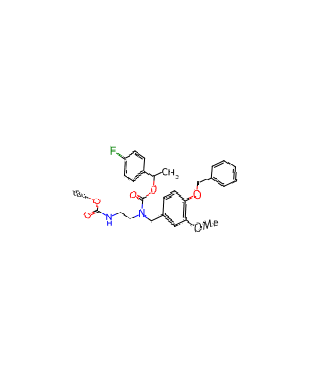 COc1cc(CN(CCNC(=O)OC(C)(C)C)C(=O)OC(C)c2ccc(F)cc2)ccc1OCc1ccccc1